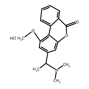 COc1cc(C(C)N(C)C)cc2oc(=O)c3ccccc3c12.Cl